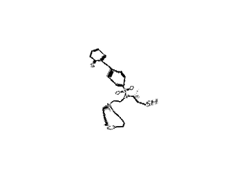 C[C@H](CS)N(CCN1CCOCC1)S(=O)(=O)c1ccc(C2=CC=CCC2=S)cc1